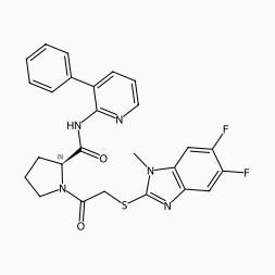 Cn1c(SCC(=O)N2CCC[C@H]2C(=O)Nc2ncccc2-c2ccccc2)nc2cc(F)c(F)cc21